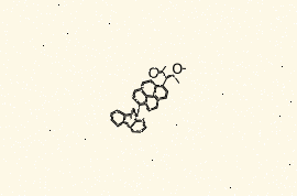 CO/C(C)=C(\C(C)=O)c1ccc2ccc3c(-n4c5ccccc5c5ccccc54)ccc4ccc1c2c43